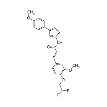 COc1ccc(-c2csc(NC(=O)C=Cc3ccc(OCC(F)F)c(OC)c3)n2)cc1